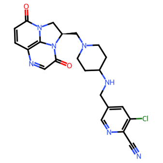 N#Cc1ncc(CNC2CCN(C[C@@H]3Cn4c(=O)ccc5ncc(=O)n3c54)CC2)cc1Cl